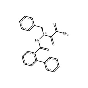 NC(=O)C(=O)[C@H](Cc1ccccc1)NC(=O)c1ccccc1-c1ccccc1